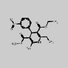 CCOC(=O)C1=C(CC)NC(C)=C(C(=O)OC)C1c1cccc([N+](=O)[O-])c1